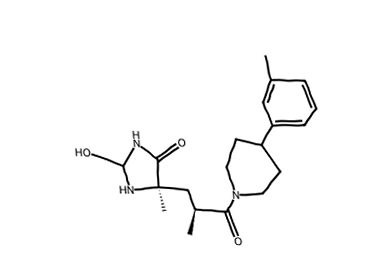 Cc1cccc(C2CCN(C(=O)[C@@H](C)C[C@@]3(C)NC(O)NC3=O)CC2)c1